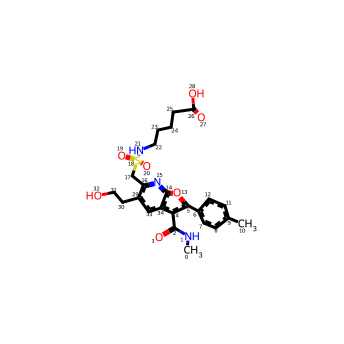 CNC(=O)c1c(-c2ccc(C)cc2)oc2nc(CS(=O)(=O)NCCCCC(=O)O)c(CCO)cc12